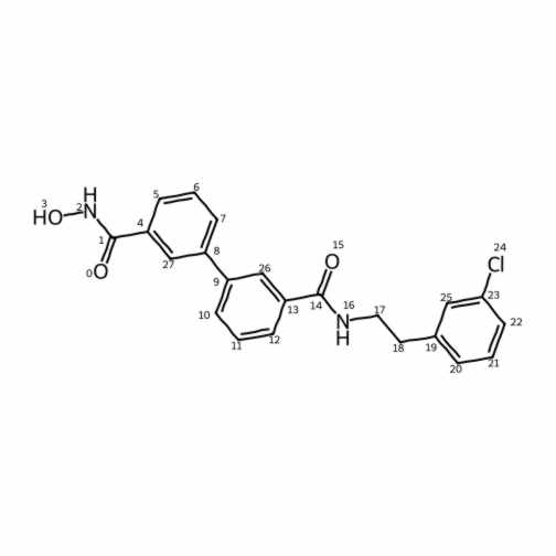 O=C(NO)c1cccc(-c2cccc(C(=O)NCCc3cccc(Cl)c3)c2)c1